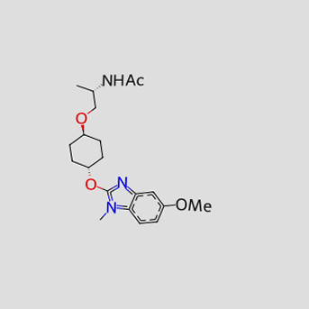 COc1ccc2c(c1)nc(O[C@H]1CC[C@H](OC[C@H](C)NC(C)=O)CC1)n2C